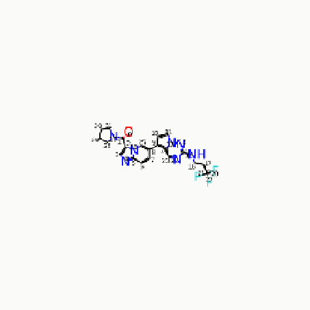 O=C(c1cnc2ccc(-c3ccn4nc(NCCC(F)(F)F)ncc34)cn12)N1CCCC1